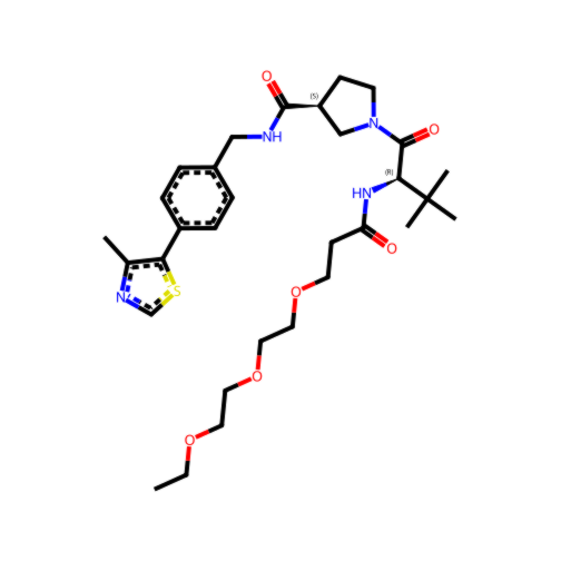 CCOCCOCCOCCC(=O)N[C@@H](C(=O)N1CC[C@H](C(=O)NCc2ccc(-c3scnc3C)cc2)C1)C(C)(C)C